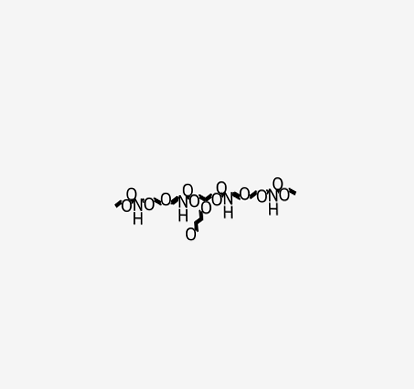 CCOC(=O)NCOCCO/C=C/NC(=O)OCC(COC(=O)N/C=C/OCCOCNC(=O)OCC)OCCCC=O